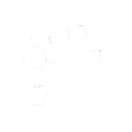 O=C1c2cc(Oc3ccc(OC(F)(F)F)cc3)ccc2OCCN1Cc1ccccn1